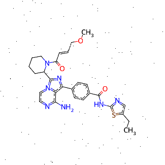 CCc1cnc(NC(=O)c2ccc(-c3nc(C4CCCCN4C(=O)/C=C/COC)n4ccnc(N)c34)cc2)s1